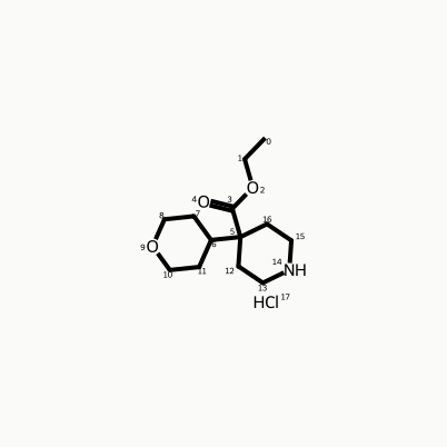 CCOC(=O)C1(C2CCOCC2)CCNCC1.Cl